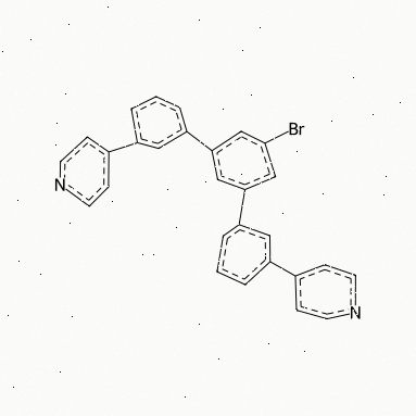 Brc1cc(-c2cccc(-c3ccncc3)c2)cc(-c2cccc(-c3ccncc3)c2)c1